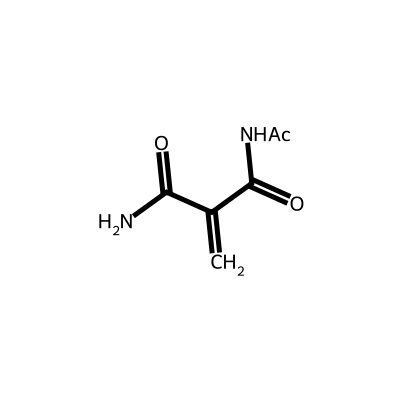 C=C(C(N)=O)C(=O)NC(C)=O